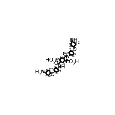 Nc1ccc(Oc2ccc(NC(=O)c3cc(C(=O)O)c(C(=O)Nc4ccc(Oc5ccc(N)cc5)cc4)cc3C(=O)O)cc2)cc1